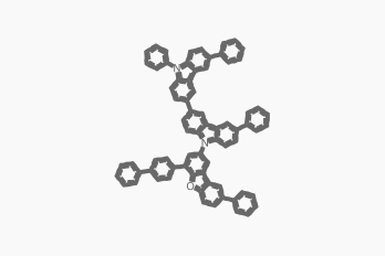 c1ccc(-c2ccc(-c3cc(-n4c5ccc(-c6ccccc6)cc5c5cc(-c6ccc7c(c6)c6cc(-c8ccccc8)ccc6n7-c6ccccc6)ccc54)cc4c3oc3ccc(-c5ccccc5)cc34)cc2)cc1